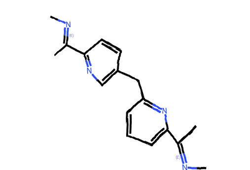 C/N=C(\C)c1ccc(Cc2cccc(/C(C)=N/C)n2)cn1